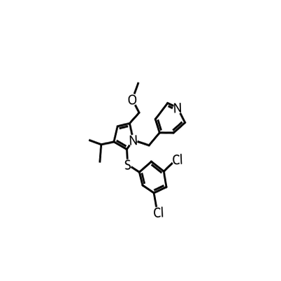 COCc1cc(C(C)C)c(Sc2cc(Cl)cc(Cl)c2)n1Cc1ccncc1